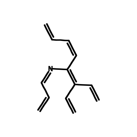 C=C/C=C\C(/N=C\C=C)=C(C=C)C=C